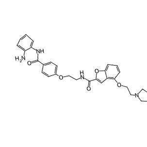 Nc1ccccc1NC(=O)c1ccc(OCCNC(=O)c2cc3c(OCCN4CCCC4)cccc3o2)cc1